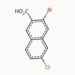 O=C(O)c1cc2ccc(Cl)cc2cc1Br